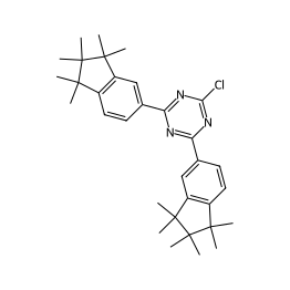 CC1(C)c2ccc(-c3nc(Cl)nc(-c4ccc5c(c4)C(C)(C)C(C)(C)C5(C)C)n3)cc2C(C)(C)C1(C)C